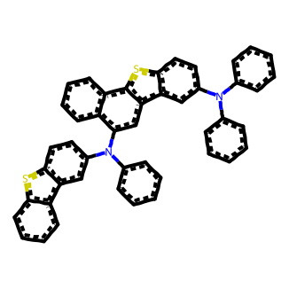 c1ccc(N(c2ccccc2)c2ccc3sc4c5ccccc5c(N(c5ccccc5)c5ccc6sc7ccccc7c6c5)cc4c3c2)cc1